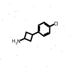 NC1[CH]C(c2ccc(Cl)cc2)C1